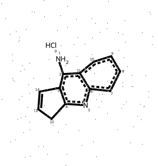 Cl.Nc1c2c(nc3ccccc13)CC=C2